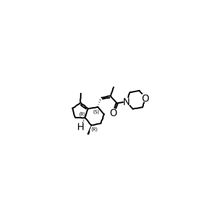 CC(=C[C@@H]1CC[C@@H](C)[C@H]2CCC(C)=C12)C(=O)N1CCOCC1